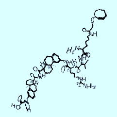 CC(C)[C@H](NC(=O)C(N)CCCCNC(=O)COC1C#CCCCCC1)C(=O)N[C@@H](CCCNC(N)=O)C(=O)Nc1ccc2c(c1)[C@@]1(C)CCC[C@](C)(C(=O)NC(=O)[C@@]3(C)CCC[C@]4(C)c5cc(NC(=O)O)ccc5CC[C@@H]34)[C@@H]1CC2